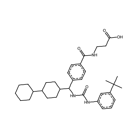 CC(C)(C)c1cccc(NC(=O)NC(c2ccc(C(=O)NCCC(=O)O)cc2)C2CCC(C3CCCCC3)CC2)c1